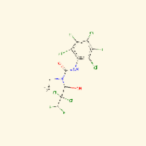 CCN(C(=O)Nc1c(Cl)c(Cl)c(Cl)c(Cl)c1Cl)C(O)C(Cl)(Cl)C(F)F